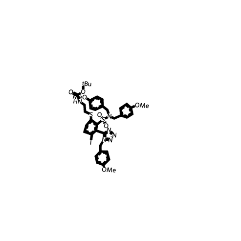 COc1ccc(CN(Cc2ccc(OC)cc2)S(=O)(=O)c2c(SCCNC(=O)OC(C)(C)C)ccc(I)c2-c2nnnn2Cc2ccc(OC)cc2)cc1